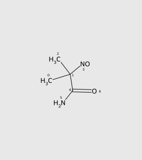 CC(C)(N=O)C(N)=O